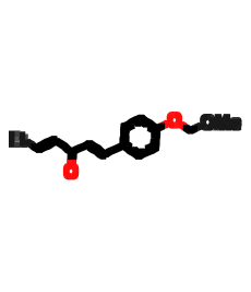 CCC=CC(=O)C=Cc1ccc(OCOC)cc1